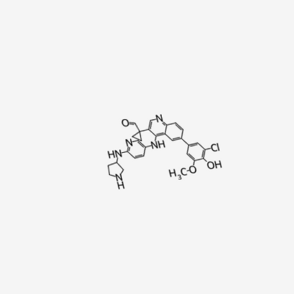 COc1cc(-c2ccc3ncc(C4(C=O)CC4)c(Nc4ccc(NC5CCNC5)nc4)c3c2)cc(Cl)c1O